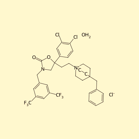 O.O=C1OC(CC[N+]23CCC(Cc4ccccc4)(CC2)CC3)(c2ccc(Cl)c(Cl)c2)CN1Cc1cc(C(F)(F)F)cc(C(F)(F)F)c1.[Cl-]